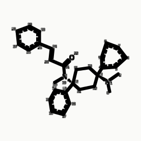 CN(C)[C@]1(c2ccccc2)CC[C@@](c2ccccc2)(N(C)C(=O)C=Cc2ccccc2)CC1